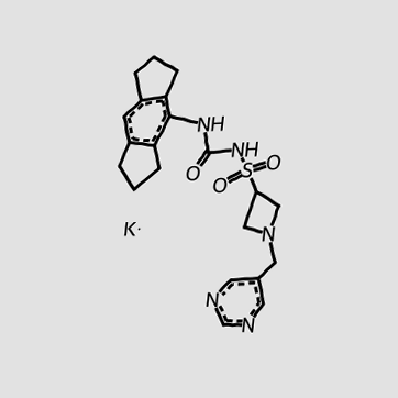 O=C(Nc1c2c(cc3c1CCC3)CCC2)NS(=O)(=O)C1CN(Cc2cncnc2)C1.[K]